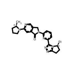 CC[C@H]1CCc2nnc(-c3cccc(N4Cc5cnc(N6CCC[C@H]6C)cc5C4=O)n3)n21